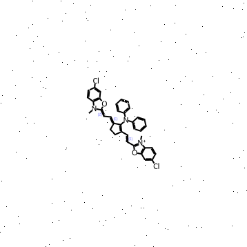 CN1/C(=C/C=C2\CCC(/C=C/c3oc4cc(Cl)ccc4[n+]3C)=C2N(c2ccccc2)c2ccccc2)Oc2cc(Cl)ccc21